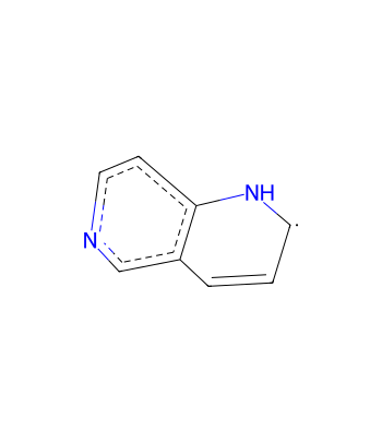 [CH]1C=Cc2cnccc2N1